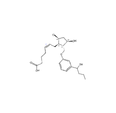 CCCC(O)c1cccc(OC[C@@H]2[C@@H](C/C=C\CCCC(=O)O)[C@@H](Cl)C[C@H]2O)c1